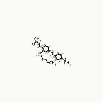 CCCCCI.COc1ccc(COc2ccc(C=CC(C)=O)c(I)c2)cc1